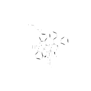 NC(=O)[C@@H]1[C@H]2C(=O)O[C@H](c3ccccc3)[C@H](c3ccccc3)N2[C@H](c2ccc(OCCO)cc2)[C@@]12C(=O)Nc1ccccc12